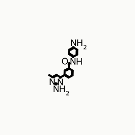 Cc1cc(-c2cccc(C(=O)Nc3ccc(N)cc3)c2)nc(N)n1